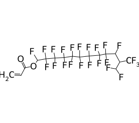 C=CC(=O)OC(F)C(F)(F)C(F)(F)C(F)(F)C(F)(F)C(F)(F)C(F)(F)C(F)(F)C(F)(F)C(F)C(C(F)F)C(F)(F)F